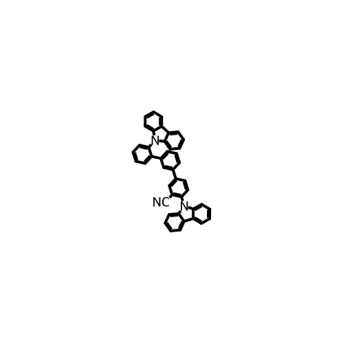 N#Cc1cc(-c2cccc(-c3ccccc3-n3c4ccccc4c4ccccc43)c2)ccc1-n1c2ccccc2c2ccccc21